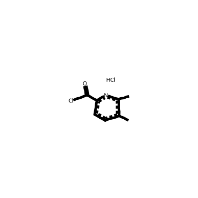 Cc1ccc(C(=O)Cl)nc1C.Cl